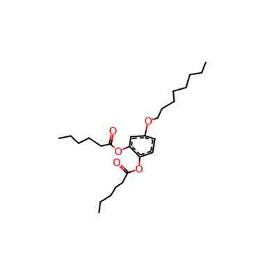 CCCCCCCCOc1ccc(OC(=O)CCCCC)c(OC(=O)CCCCC)c1